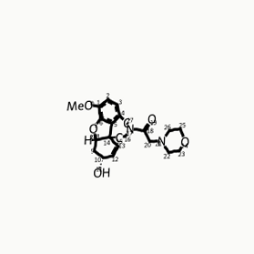 COc1ccc2c3c1O[C@H]1C[C@@H](O)C=C[C@@]31CCN(C(=O)CN1CCOCC1)C2